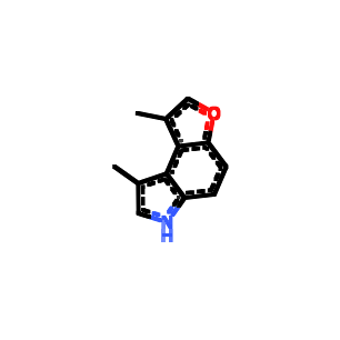 Cc1c[nH]c2ccc3occ(C)c3c12